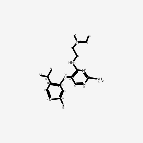 CCN(C)CCNc1nc(N)ncc1Oc1cc(Br)ncc1C(C)C